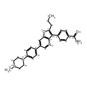 CCCc1oc2cc(-c3ccc(N4CCN(C)CC4)cc3)cnc2c1-c1ccc(C(N)=O)cc1